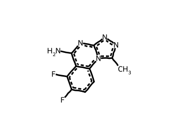 Cc1nnc2nc(N)c3c(F)c(F)ccc3n12